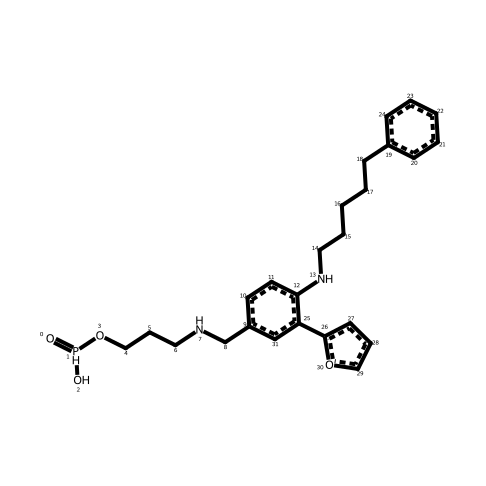 O=[PH](O)OCCCNCc1ccc(NCCCCCc2ccccc2)c(-c2ccco2)c1